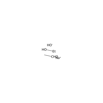 CC=O.CCO.[Na+].[OH-]